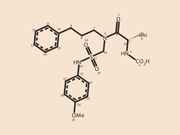 CCC(C)[C@H](NC(=O)O)C(=O)N(CCCc1ccccc1)CS(=O)(=O)Nc1ccc(OC)cc1